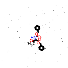 CC(=O)C(NC(=O)OCc1ccccc1)C(=O)OCc1ccccc1